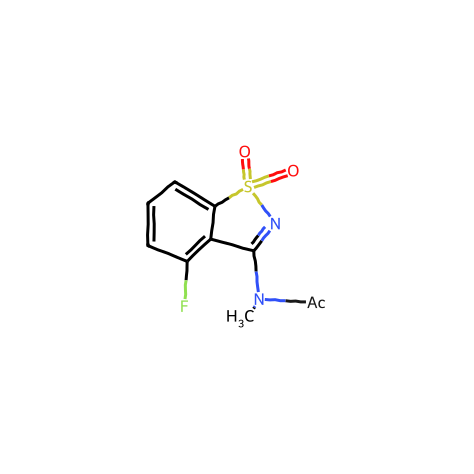 CC(=O)N(C)C1=NS(=O)(=O)c2cccc(F)c21